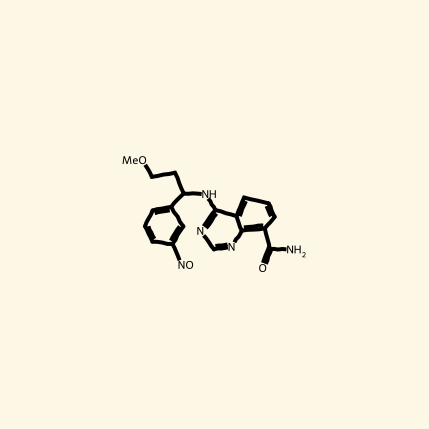 COCCC(Nc1ncnc2c(C(N)=O)cccc12)c1cccc(N=O)c1